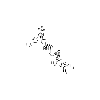 Cc1ccc(-c2cc(C(F)(F)F)nn2-c2ccc(S(=O)(=O)NC(=O)C3CCCN(/[N+]([O-])=N\OC(C)OC(=O)OC(C)C)C3)cc2)cc1